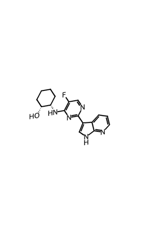 O[C@@H]1CCCC[C@@H]1Nc1nc(-c2c[nH]c3ncccc23)ncc1F